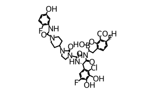 O=C(O)c1c(F)ccc2c1OB(O)[C@@H](NC(=O)[C@@H](NC(=O)N1CCN(C3CCN(C(=O)Nc4cc(O)ccc4F)CC3)C1=O)c1cc(F)c(O)c(O)c1Cl)C2